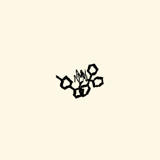 Cc1ccc(-c2ccccc2-c2nnnn2C(c2ccccc2)(c2ccccc2)c2ccccc2)cc1